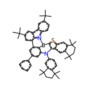 CC(C)(C)c1ccc2c(c1)c1cc(C(C)(C)C)cc3c1n2B1c2sc4cc5c(cc4c2N(c2ccc4c(c2)C(C)(C)CCC4(C)C)c2cc(-c4ccccc4)cc-3c21)C(C)(C)CCC5(C)C